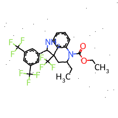 CCOC(=O)N1c2ccccc2C(C(N)c2cc(C(F)(F)F)cc(C(F)(F)F)c2)(C(F)(F)F)CC1CC